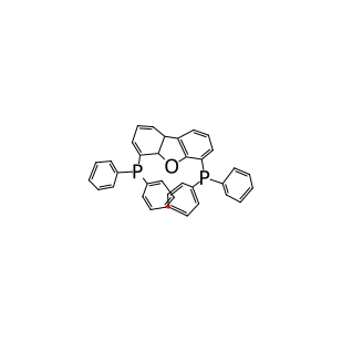 C1=CC2c3cccc(P(c4ccccc4)c4ccccc4)c3OC2C(P(c2ccccc2)c2ccccc2)=C1